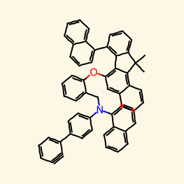 CC1(C)c2cccc(-c3cccc4ccccc34)c2-c2c(Oc3ccccc3CN(c3ccc(-c4c#cccc4)cc3)c3cccc4ccccc34)cc3ccccc3c21